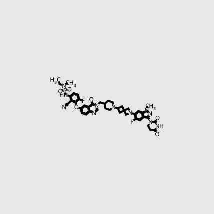 CCN(C)S(=O)(=O)Nc1ccc(F)c(Oc2ccc3ncn(CC4CCN(C5CC6(C5)CN(c5cc7c(cc5F)c(N5CCC(=O)NC5=O)nn7C)C6)CC4)c(=O)c3c2)c1C#N